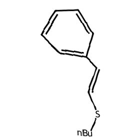 CCCCSC=Cc1ccccc1